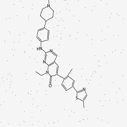 CCn1c(=O)c(-c2ccc(-c3ncc(C)s3)cc2C)cc2cnc(Nc3ccc(C4CCN(C)CC4)cc3)nc21